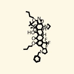 CCCCOc1cc(C2CCCN2Cc2ccccc2)c(C(F)(F)F)c2c1C(=O)C1=C(O)[C@]3(O[Si](C)(C)C(C)(C)C)C(=O)c4c(OCCCC)noc4[C@@H](N4CCC4)[C@@H]3C[C@@H]1C2